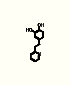 Oc1ccc([CH]Cc2ccccn2)cc1O